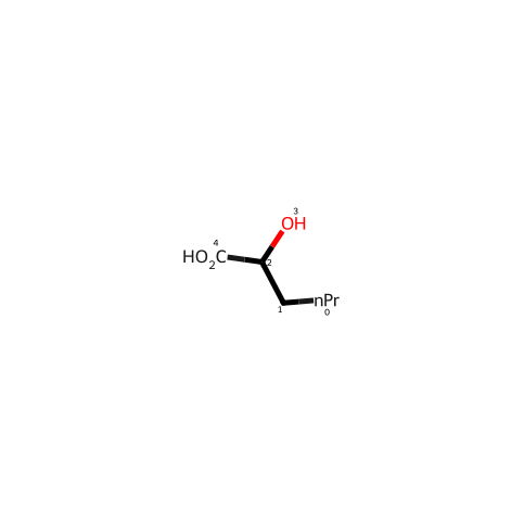 CCCC[C](O)C(=O)O